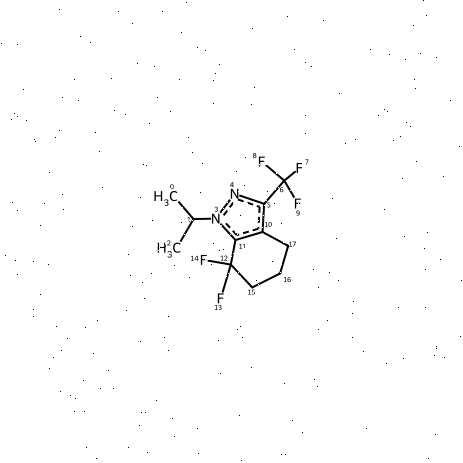 CC(C)n1nc(C(F)(F)F)c2c1C(F)(F)CCC2